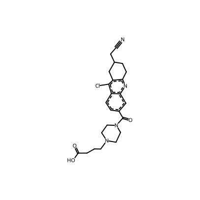 N#CCC1CCc2nc3cc(C(=O)N4CCN(CCCC(=O)O)CC4)ccc3c(Cl)c2C1